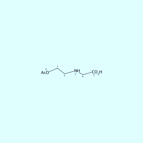 CC(=O)OCCNCC(=O)O